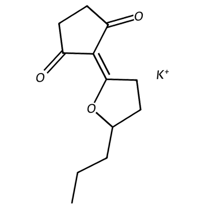 CCCC1CCC(=C2C(=O)CCC2=O)O1.[K+]